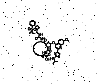 COc1ccc2c(O[C@@H]3C[C@H]4C(=O)N[C@]5(C(=O)O)CC5/C=C\CCCCC[C@H](NC(=O)N[C@H](CN(C)S(=O)(=O)c5ccccc5)C5CCC5)C(=O)N4C3)cc(-c3csc(NC(C)C)n3)nc2c1